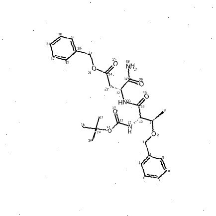 C[C@@H](OCc1ccccc1)[C@H](NC(=O)OC(C)(C)C)C(=O)N[C@H](CC(=O)OCc1ccccc1)C(N)=O